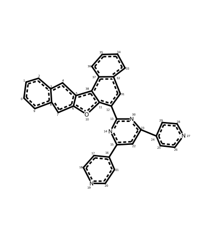 c1ccc2cc3c(cc2c1)oc1c(-c2nc(-c4ccncc4)cc(-c4ccncc4)n2)cc2ccccc2c13